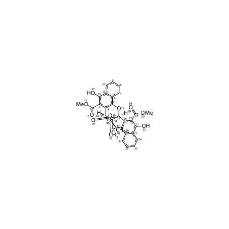 COC(=O)c1c2c(c3ccccc3c1O)O[C@H]1c3c(C(=O)OC)c(O)c4ccccc4c3O[C@@]13[C@@H]2C(=O)OC3(C)C